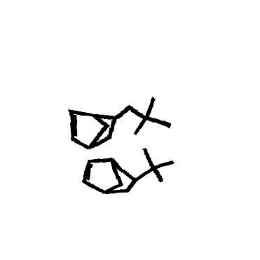 CC(C)(C)C1CC2C=CC1C2.CC(C)(C)CC1CC2C=CC1C2